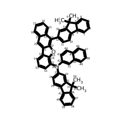 CC1(C)c2ccccc2-c2ccc(-c3c4ccccc4cc4c3oc3c(N(c5ccc6c(c5)C(C)(C)c5ccccc5-6)c5ccc6ccccc6c5)cccc34)cc21